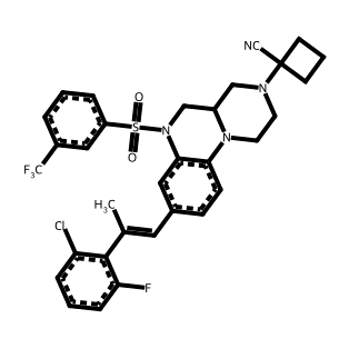 CC(=Cc1ccc2c(c1)N(S(=O)(=O)c1cccc(C(F)(F)F)c1)CC1CN(C3(C#N)CCC3)CCN21)c1c(F)cccc1Cl